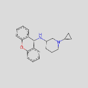 c1ccc2c(c1)Oc1ccccc1C2NC1CCCN(C2CC2)C1